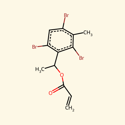 C=CC(=O)OC(C)c1c(Br)cc(Br)c(C)c1Br